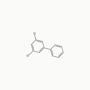 Clc1cc(Cl)cc(-c2ccccc2)c1